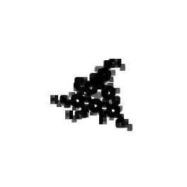 CSc1cc2c3c(c1)Oc1ccncc1B3c1cc3c(cc1N2)N(SC)c1cc(SC)cc2c1B3c1cc3c(cc1N2SC)Oc1cc(SC)cc2c1B3c1cnccc1O2